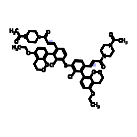 CCOc1ccc(-c2c(/C=C/C(=O)N3CCN(C(C)=O)CC3)ccc(Sc3ccc(/C=C/C(=O)N4CCN(C(C)=O)CC4)c(-c4ccc(OCC)c5c4OOCC5)c3Cl)c2Cl)c2c1CCOO2